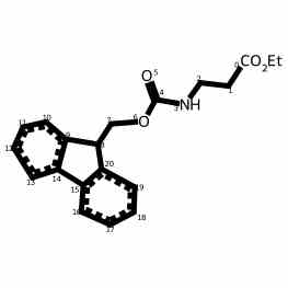 CCOC(=O)CCNC(=O)OCC1c2ccccc2-c2ccccc21